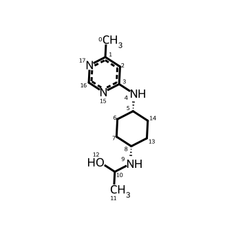 Cc1cc(N[C@H]2CC[C@@H](NC(C)O)CC2)ncn1